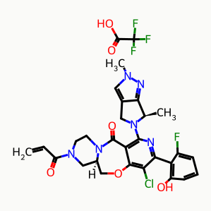 C=CC(=O)N1CCN2C(=O)c3c(N4Cc5cn(C)nc5[C@H]4C)nc(-c4c(O)cccc4F)c(Cl)c3OC[C@H]2C1.O=C(O)C(F)(F)F